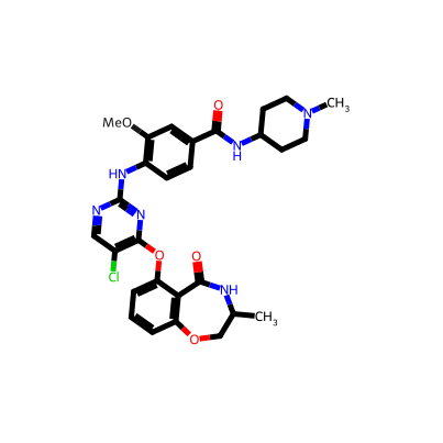 COc1cc(C(=O)NC2CCN(C)CC2)ccc1Nc1ncc(Cl)c(Oc2cccc3c2C(=O)NC(C)CO3)n1